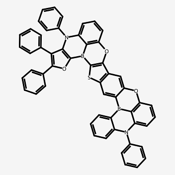 c1ccc(-c2oc3c(c2-c2ccccc2)N(c2ccccc2)c2cccc4c2B3c2sc3cc5c(cc3c2O4)Oc2cccc3c2B5c2ccccc2N3c2ccccc2)cc1